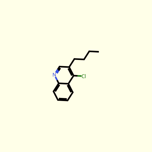 CCCCc1cnc2ccccc2c1Cl